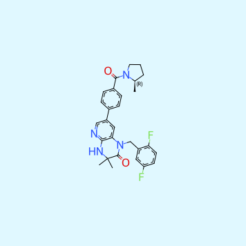 C[C@@H]1CCCN1C(=O)c1ccc(-c2cnc3c(c2)N(Cc2cc(F)ccc2F)C(=O)C(C)(C)N3)cc1